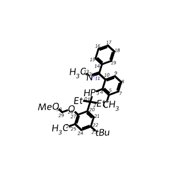 CCC(CC)(Pc1c(C)cccc1/C(=N/C)c1ccccc1)c1cc(C(C)(C)C)cc(C)c1OCOC